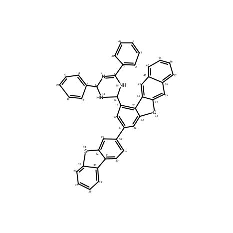 c1ccc(C2=NC(c3ccccc3)NC(c3cc(-c4ccc5c(c4)sc4ccccc45)cc4oc5cc6ccccc6cc5c34)N2)cc1